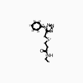 CCNC(=O)CCSCc1nnnn1-c1ccccc1